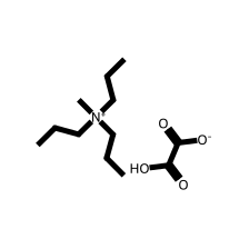 CCC[N+](C)(CCC)CCC.O=C([O-])C(=O)O